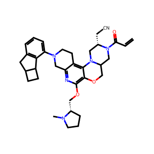 C=CC(=O)N1CC2COc3c(OC[C@@H]4CCCN4C)nc4c(c3N2C[C@@H]1CC#N)CCN(c1cccc2c1C1CCC1C2)C4